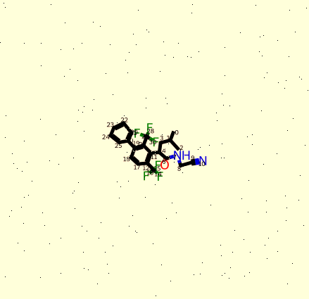 CC(C)CC(C(=O)NCC#N)c1c(C(F)(F)F)ccc(-c2ccccc2)c1C(F)(F)F